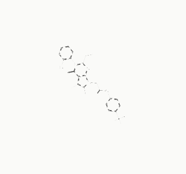 CCc1nc2c(c(C)c(C)n2CC(=O)Nc2ccc(C(F)(F)F)cc2)c(=O)n1-c1ccccc1Br